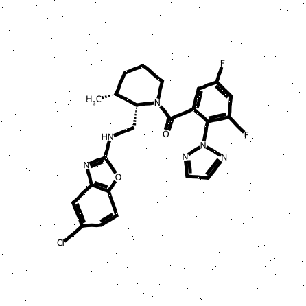 C[C@@H]1CCCN(C(=O)c2cc(F)cc(F)c2-n2nccn2)[C@@H]1CNc1nc2cc(Cl)ccc2o1